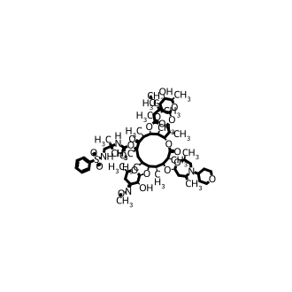 CO/N=C1\C[C@@H](C)O[C@@H](O[C@@H]2[C@@H](C)[C@H](O[C@H]3CC(C)N(C4CCOCC4)C[C@H](C)O3)[C@@H](C)C(=O)O[C@H]([C@@H](C)CO[C@@H]3O[C@H](C)[C@@H](O)[C@@H](OC)[C@H]3OC)[C@H](C)[C@@H](OC(=O)CC(C)C)[C@@H](C)C(=O)[C@@](C)(OC(=O)NC(C)(C)CNS(=O)(=O)c3ccccc3)C[C@@H]2C)[C@@H]1O